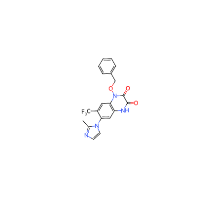 Cc1nccn1-c1cc2[nH]c(=O)c(=O)n(OCc3ccccc3)c2cc1C(F)(F)F